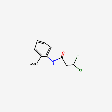 COc1ccccc1NC(=O)CC(Cl)Cl